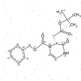 CC(C)(C)OC(=O)C[C@@H]1C(=O)NC=CN1C(=O)OCc1ccccc1